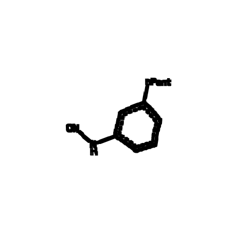 CCCCCc1cccc(NN=O)c1